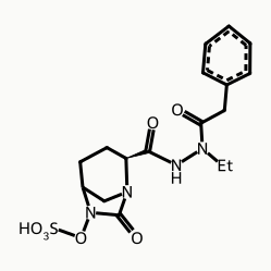 CCN(NC(=O)[C@@H]1CCC2CN1C(=O)N2OS(=O)(=O)O)C(=O)Cc1ccccc1